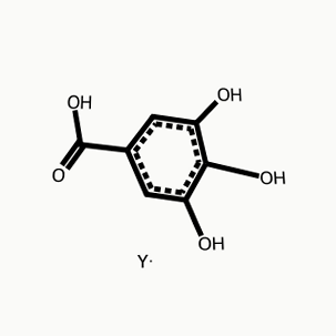 O=C(O)c1cc(O)c(O)c(O)c1.[Y]